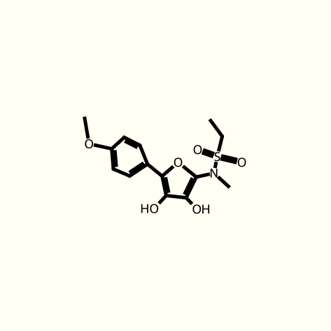 CCS(=O)(=O)N(C)c1oc(-c2ccc(OC)cc2)c(O)c1O